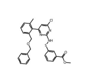 COC(=O)c1cccc(SNc2nc(Cl)cc(-c3c(C)cccc3COCc3ccccc3)n2)c1